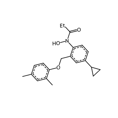 CCC(=O)N(O)c1ccc(C2CC2)cc1COc1ccc(C)cc1C